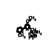 CCOc1cc(C)nc(-c2cccc(C)n2)c1.NS(=O)(=O)C(F)(F)F